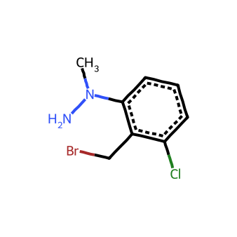 CN(N)c1cccc(Cl)c1CBr